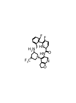 NC1C[C@@H](C(F)(F)F)CN(c2c(NC(=O)C3C=CC(F)=C(c4c(F)cccc4F)N3)cnc3c2CCO3)C1